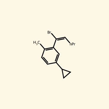 CCC/C=C(/Br)c1cc(C2CC2)ccc1C